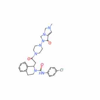 CN1C=C2C(=O)N(N3CCN(C(=O)CC4c5ccccc5CCN4C(=O)Nc4ccc(Cl)cc4)CC3)CN2C1